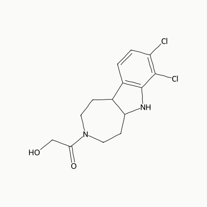 O=C(CO)N1CCC2Nc3c(ccc(Cl)c3Cl)C2CC1